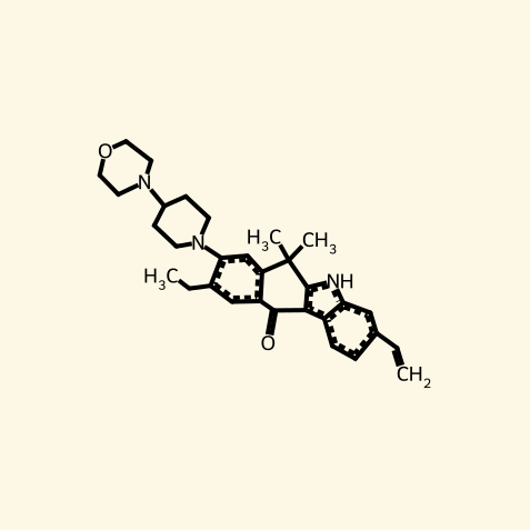 C=Cc1ccc2c3c([nH]c2c1)C(C)(C)c1cc(N2CCC(N4CCOCC4)CC2)c(CC)cc1C3=O